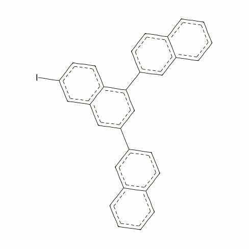 Ic1ccc2c(-c3ccc4ccccc4c3)cc(-c3ccc4ccccc4c3)cc2c1